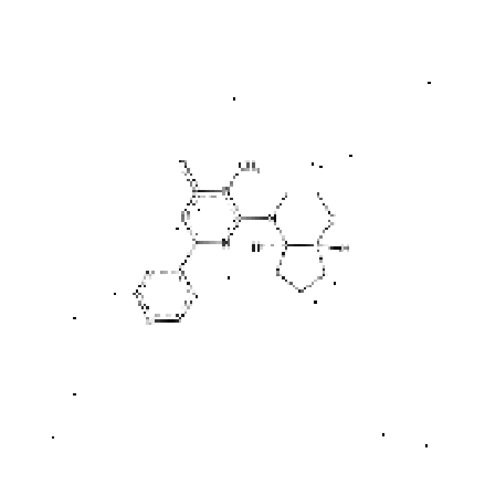 Cn1c(N2CCO[C@@H]3CCC[C@H]32)nc(-c2ccncn2)cc1=O